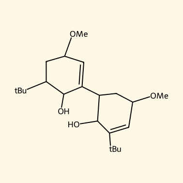 COC1C=C(C(C)(C)C)C(O)C(C2=CC(OC)CC(C(C)(C)C)C2O)C1